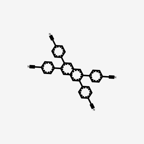 N#Cc1ccc(-c2cc3cc(-c4ccc(C#N)cc4)c(-c4ccc(C#N)cc4)cc3cc2-c2ccc(C#N)cc2)cc1